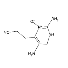 NC1=C(CCO)[N+]([O-])=C(N)NC1